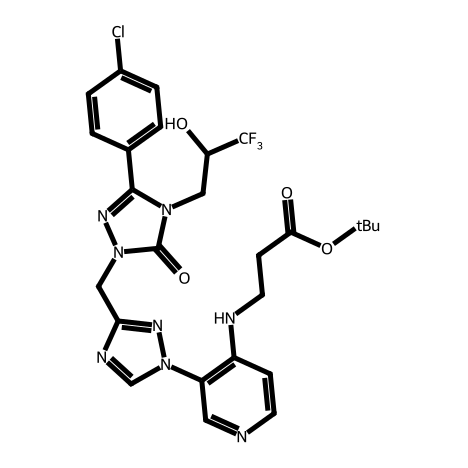 CC(C)(C)OC(=O)CCNc1ccncc1-n1cnc(Cn2nc(-c3ccc(Cl)cc3)n(CC(O)C(F)(F)F)c2=O)n1